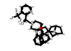 Cc1nc2ccccc2n1C1CC2CCC(C1)N2CCC1(c2ccccc2)CCN(C(=O)c2ncccc2C(F)(F)F)CC1